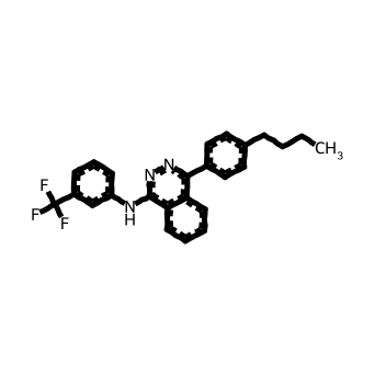 CCCCc1ccc(-c2nnc(Nc3cccc(C(F)(F)F)c3)c3ccccc23)cc1